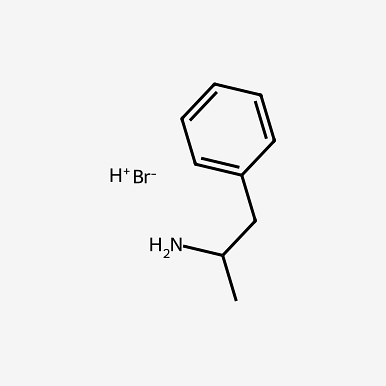 CC(N)Cc1ccccc1.[Br-].[H+]